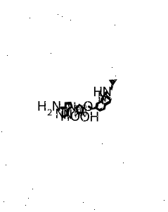 Nc1ncnc2c1ccn2[C@@H]1C[C@H](OCc2ccc3ccc(NCC4CC4)nc3c2)[C@@H](O)[C@H]1O